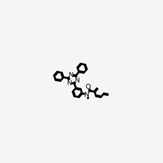 C=C/C=C\C(=C)C(=O)N(C)c1cccc(-c2nc(-c3ccccc3)nc(-c3ccccc3)n2)c1